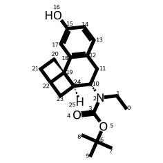 CCN(C(=O)OC(C)(C)C)[C@H]1Cc2ccc(O)cc2[C@@]23CCC2C[C@H]13